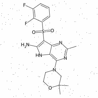 Cc1nc(N2CCOC(C)(C)C2)c2[nH]c(N)c(S(=O)(=O)c3cccc(F)c3F)c2n1